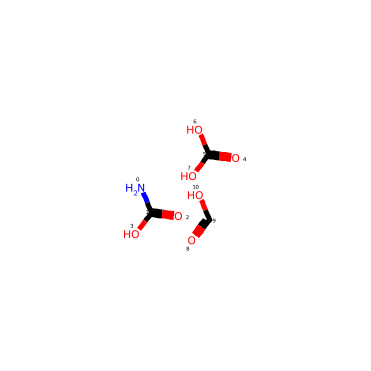 NC(=O)O.O=C(O)O.O=CO